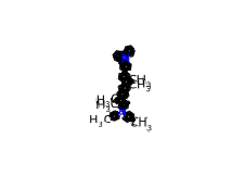 Cc1ccc(N(c2ccc(C)cc2)c2ccc3c(c2)C(C)(C)c2cc4cc5c(cc4cc2-3)C(C)(C)c2cc(-c3ccc4c(c3)c3cccc6c7ccccc7n4c63)ccc2-5)cc1